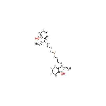 O=C(O)C(CCCCSCCCCC(C(=O)O)c1ccccc1O)c1ccccc1O